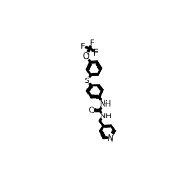 O=C(NCc1ccncc1)Nc1ccc(Sc2cccc(OC(F)(F)F)c2)cc1